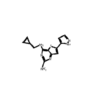 Nc1nc(NCC2CC2)c2sc(-c3ccn[nH]3)cc2n1